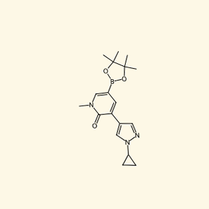 Cn1cc(B2OC(C)(C)C(C)(C)O2)cc(-c2cnn(C3CC3)c2)c1=O